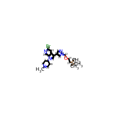 CN1CCC(n2cc(-c3cnn(COCCS(C)(C)C)c3)c3cc(Br)ncc32)CC1